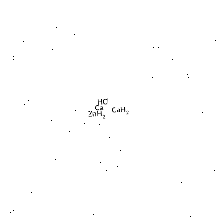 Cl.[CaH2].[CaH2].[Zn]